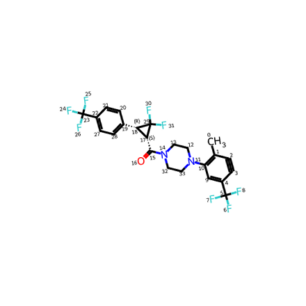 Cc1c#cc(C(F)(F)F)cc1N1CCN(C(=O)[C@@H]2[C@H](c3ccc(C(F)(F)F)cc3)C2(F)F)CC1